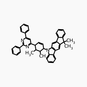 CC1C(c2cc(-c3ccccc3)nc(-c3ccccc3)n2)C=CC(n2c3ccccc3c3cc4c(cc32)-c2ccccc2C4(C)C)C1C